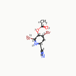 CC(=O)Oc1c(Br)cc(C#N)nc1Br